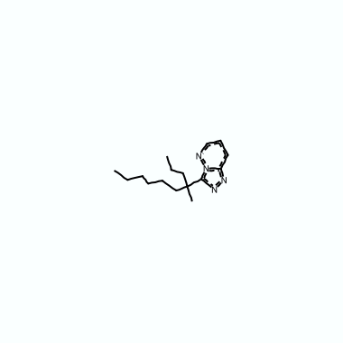 CCCCCCC(C)(CCC)c1nnc2cccnn12